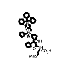 CSCC[C@H](NC(=O)c1[nH]c2ccc(N(Cc3cn(C(c4ccccc4)(c4ccccc4)c4ccccc4)cn3)S(=O)(=O)c3ccccc3)cc2c1-c1ccccc1)C(=O)O